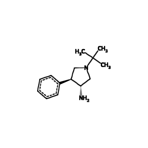 CC(C)(C)N1C[C@H](c2ccccc2)[C@@H](N)C1